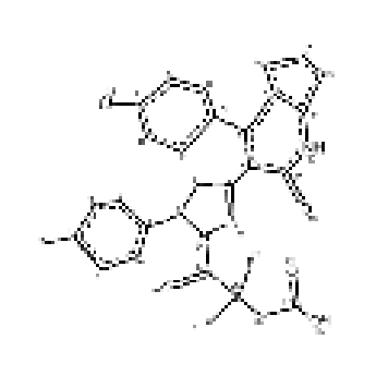 Cc1ccc(C2CC(c3c(-c4ccc(Cl)cc4)c4cscc4[nH]c3=O)=NN2C(=O)C(F)(F)CC(=O)O)cc1